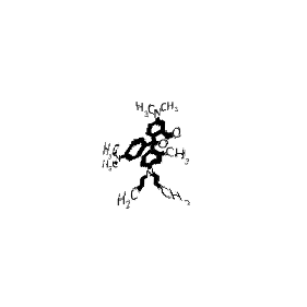 C=CCN(CC=C)c1ccc(C2(c3ccc(N(C)C)cc3)OC(=O)c3cc(N(C)C)ccc32)c(C)c1